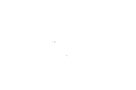 Cc1ccc(C)c2c(C)c(C(=O)NC3CCCN(C)C3)[nH]c12